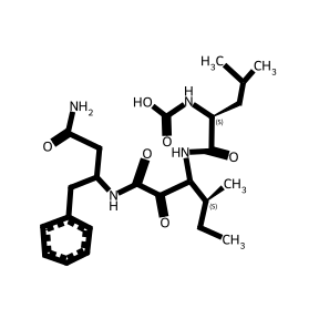 CC[C@H](C)C(NC(=O)[C@H](CC(C)C)NC(=O)O)C(=O)C(=O)NC(CC(N)=O)Cc1ccccc1